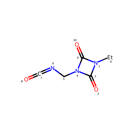 CCN1C(=O)N(CN=C=O)C1=O